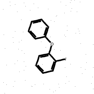 Ic1cc[c]cc1Oc1ccccc1